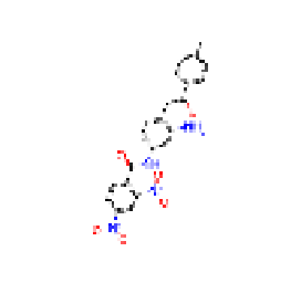 Cc1ccc(C(=O)Cc2ccc(NC(=O)c3ccc([N+](=O)[O-])cc3[N+](=O)[O-])cc2N)cc1